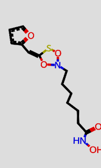 O=C(CCCCCCN1OSC(=Cc2ccco2)O1)NO